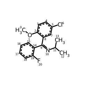 COc1ccc(Cl)cc1C(=NC(C)C)c1ccccc1F